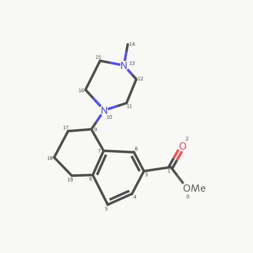 COC(=O)c1ccc2c(c1)C(N1CCN(C)CC1)CCC2